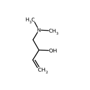 C=CC(O)CN(C)C